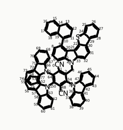 N#Cc1c(Cn2c3cccc(-c4cccc5ccccc45)c3c3c4sc5ccccc5c4ccc32)c(-n2c3ccccc3c3ccccc32)c(C#N)c(-n2c3ccccc3c3ccccc32)c1-n1c2ccccc2c2ccccc21